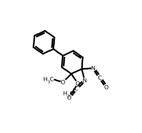 COC1(OC)C=C(c2ccccc2)C=CC1(N=C=O)N=C=O